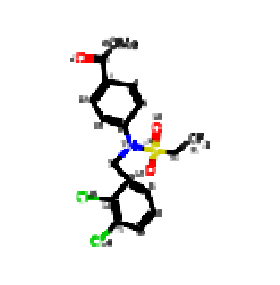 COC(=O)c1ccc(N(Cc2cccc(Cl)c2Cl)S(=O)(=O)CC(F)(F)F)cc1